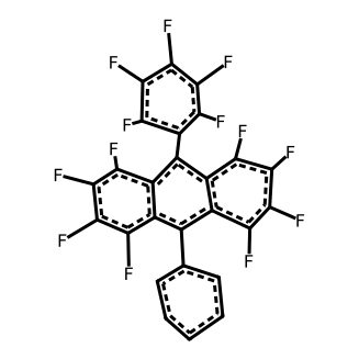 Fc1c(F)c(F)c(-c2c3c(F)c(F)c(F)c(F)c3c(-c3ccccc3)c3c(F)c(F)c(F)c(F)c23)c(F)c1F